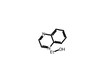 CCO.c1ccc2nccnc2c1